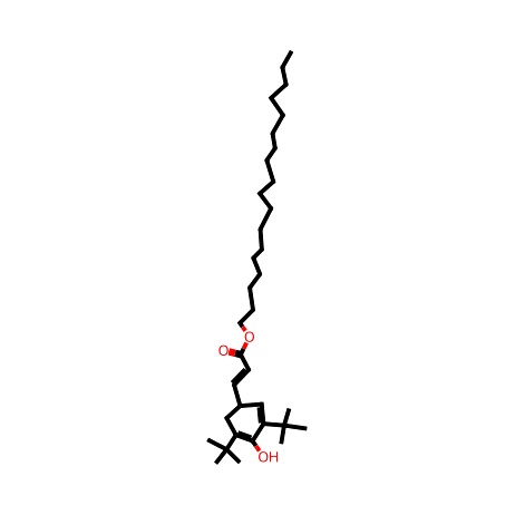 CCCCCCCCCCCCCCCCCCOC(=O)C=CC1C=C(C(C)(C)C)C(O)=C(C(C)(C)C)C1